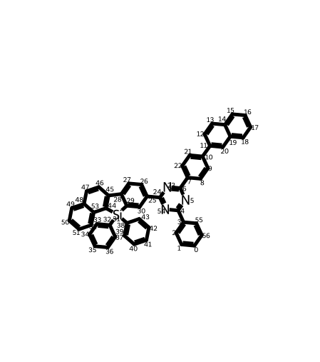 c1ccc(-c2nc(-c3ccc(-c4ccc5ccccc5c4)cc3)nc(-c3ccc4c(c3)[Si](c3ccccc3)(c3ccccc3)c3c-4ccc4ccccc34)n2)cc1